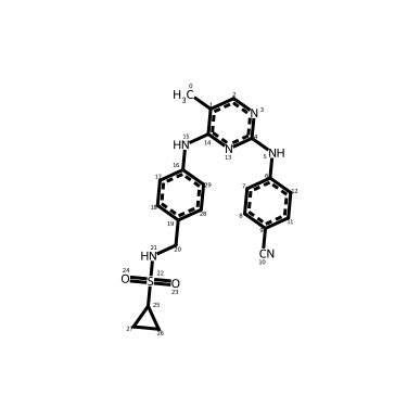 Cc1cnc(Nc2ccc(C#N)cc2)nc1Nc1ccc(CNS(=O)(=O)C2CC2)cc1